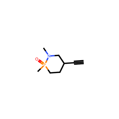 C#CC1CCP(C)(=O)N(C)C1